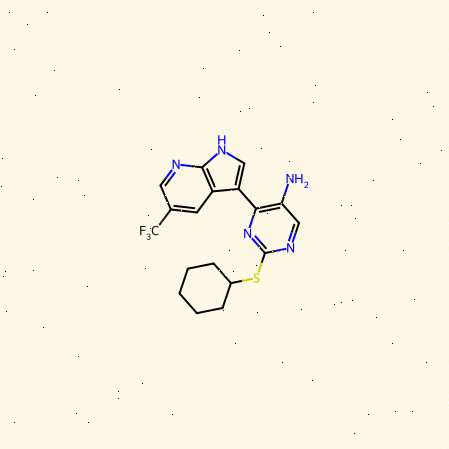 Nc1cnc(SC2CCCCC2)nc1-c1c[nH]c2ncc(C(F)(F)F)cc12